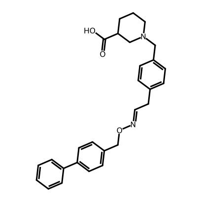 O=C(O)C1CCCN(Cc2ccc(CC=NOCc3ccc(-c4ccccc4)cc3)cc2)C1